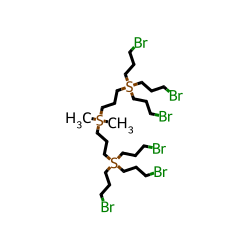 CS(C)(CCCS(CCCBr)(CCCBr)CCCBr)CCCS(CCCBr)(CCCBr)CCCBr